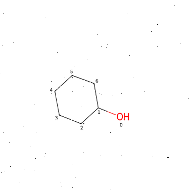 OC1[CH]CC[CH]C1